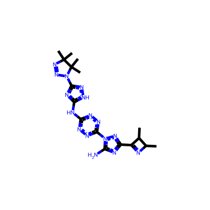 CC1N=C(c2nc(N)n(-c3nnc(Nc4nc(N5N=NC(C)(C)C5(C)C)n[nH]4)nn3)n2)C1C